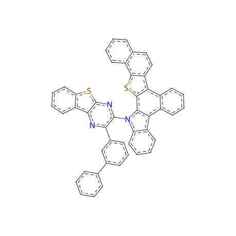 c1ccc(-c2cccc(-c3nc4c(nc3-n3c5ccccc5c5c6ccccc6c6c7ccc8ccccc8c7sc6c53)sc3ccccc34)c2)cc1